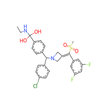 CCNC(O)(O)c1ccc(C(c2ccc(Cl)cc2)N2CC(=C(c3cc(F)cc(F)c3)S(C)(=O)=O)C2)cc1